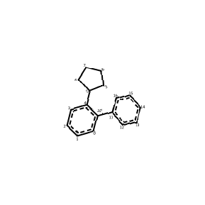 [c]1cccc(C2CCCC2)c1-c1ccccc1